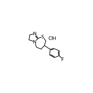 Cl.Fc1ccc(C2CCN3CCN=C3SC2)cc1